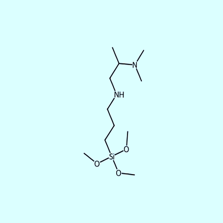 CO[Si](CCCNCC(C)N(C)C)(OC)OC